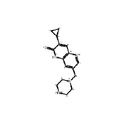 O=c1[nH]c2cc(CN3CCNCC3)cnc2cc1C1CC1